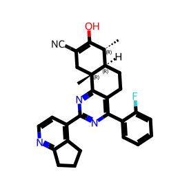 C[C@H]1C(O)=C(C#N)C[C@@]2(C)c3nc(-c4ccnc5c4CCC5)nc(-c4ccccc4F)c3CC[C@H]12